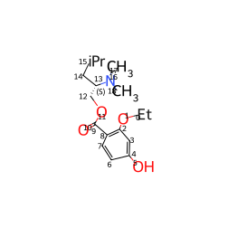 CCOc1cc(O)ccc1C(=O)OC[C@H](CC(C)C)N(C)C